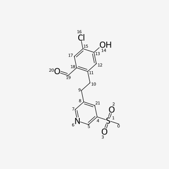 CS(=O)(=O)c1cncc(CCc2cc(O)c(Cl)cc2C=O)c1